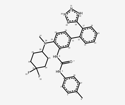 Cc1ccc(NC(=O)Nc2cc(-c3ccccc3-c3nnn[nH]3)ccc2N(C)C2CCC(F)(F)CC2)cc1